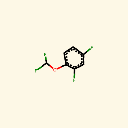 Fc1[c]c(F)c(OC(F)F)cc1